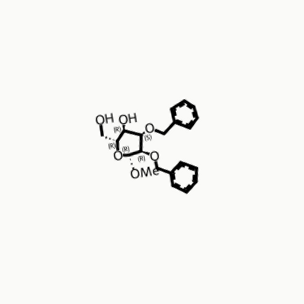 CO[C@@H]1O[C@H](CO)[C@@H](O)[C@H](OCc2ccccc2)[C@H]1OCc1ccccc1